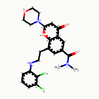 CN(C)C(=O)c1cc(CCNc2cccc(Cl)c2Cl)c2oc(N3CCOCC3)cc(=O)c2c1